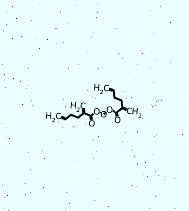 C=CCCC(=C)C(=O)OOOC(=O)C(=C)CCC=C